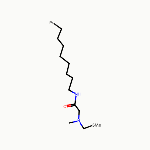 CSCN(C)CC(=O)NCCCCCCCCC(C)C